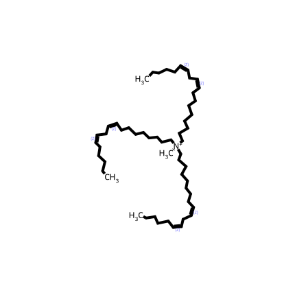 CCCCC/C=C\C/C=C\CCCCCCCC[N+](C)(CCCCCCCC/C=C\C/C=C\CCCCC)CCCCCCCC/C=C\C/C=C\CCCCC